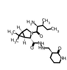 CC[C@H](C)[C@H](N)C(=O)N1C[C@H]2[C@@H]([C@H]1C(=O)NNC[C@@H]1CCCNC1=O)C2(C)C